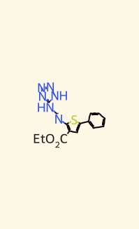 CCOC(=O)c1cc(-c2ccccc2)sc1/N=C/Nc1nnn[nH]1